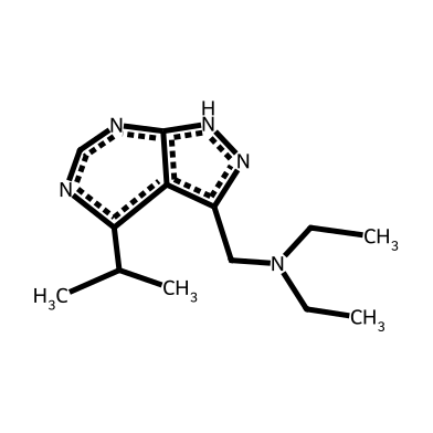 CCN(CC)Cc1n[nH]c2ncnc(C(C)C)c12